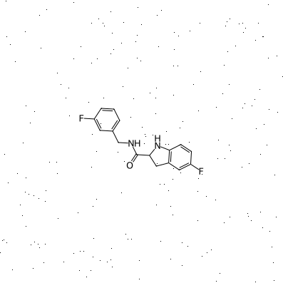 O=C(NCc1cccc(F)c1)C1Cc2cc(F)ccc2N1